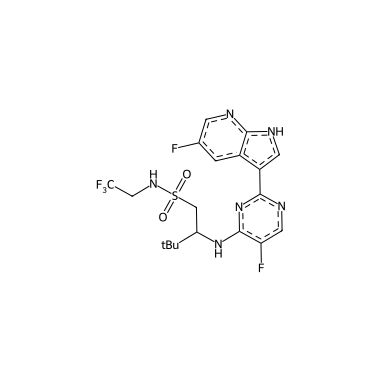 CC(C)(C)C(CS(=O)(=O)NCC(F)(F)F)Nc1nc(-c2c[nH]c3ncc(F)cc23)ncc1F